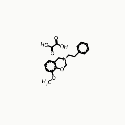 COc1cccc2c1OCN(CCc1ccccc1)C2.O=C(O)C(=O)O